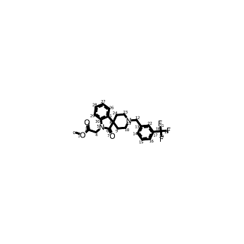 COC(=O)CN1C(=O)C2(CCN(Cc3cccc(C(F)(F)F)c3)CC2)c2ccccc21